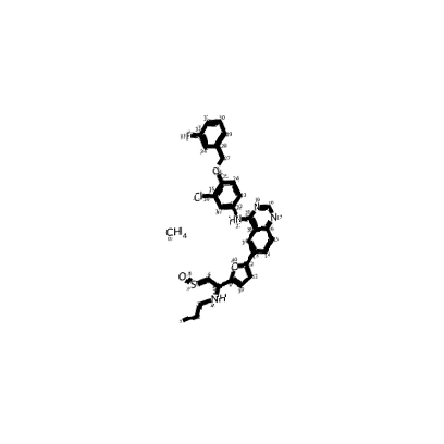 C.CCCNC(C=S=O)c1ccc(-c2ccc3ncnc(Nc4ccc(OCc5cccc(F)c5)c(Cl)c4)c3c2)o1